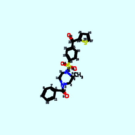 C[C@@H]1CN(C(=O)c2ccccc2)CCN1S(=O)(=O)c1ccc(C(=O)c2cccs2)cc1